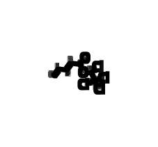 C=CC=CC(=O)OC(Cl)C(Cl)(Cl)Cl